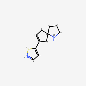 C1=C(c2ccns2)CC2(C1)CCCN2